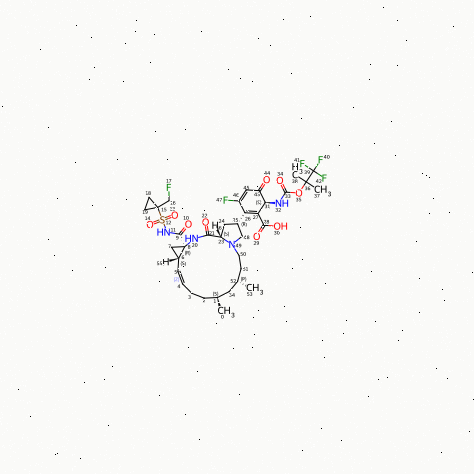 C[C@H]1CC/C=C\[C@@H]2C[C@@]2(C(=O)NS(=O)(=O)C2(CF)CC2)NC(=O)[C@@H]2C[C@H](C3=C(C(=O)O)[C@H](NC(=O)OC(C)(C)C(F)(F)F)C(=O)C=C3F)CN2CC[C@H](C)C1